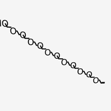 C=CCOCCOCCOCCOCCOCCOCCOCCOCCOCCOCCOCCO